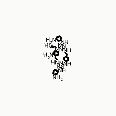 Nc1cccc(Nc2nc(NCCO)nc(NCCc3ccc(Nc4nc(NCCc5ccccc5N)nc(Nc5cccc(N)c5)n4)cc3)n2)c1